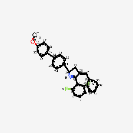 Fc1cccc(F)c1C1=NC(c2ccc(-c3ccc(OC(F)(F)F)cc3)cc2)C/C1=C/c1ccccc1